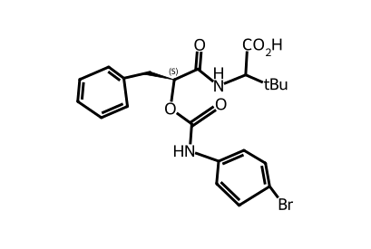 CC(C)(C)C(NC(=O)[C@H](Cc1ccccc1)OC(=O)Nc1ccc(Br)cc1)C(=O)O